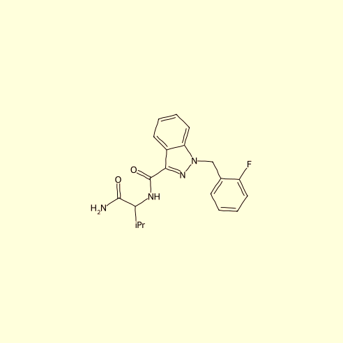 CC(C)C(NC(=O)c1nn(Cc2ccccc2F)c2ccccc12)C(N)=O